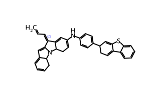 C=C/C=C1/C2=CC(Nc3ccc(C4C=c5sc6ccccc6c5=CC4)cc3)=CCC2N2C1=CC1=CC=CCC12